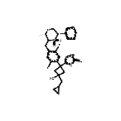 C[C@@H]1NC[C@@H](c2ccccc2)S(=O)(=O)C1Cc1cc(F)c(C2(c3c[nH]c(=O)o3)CC(O)(CC3CC3)C2)cc1F